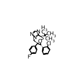 CC(C)(C)Sc1ncnn1C[C@@]1(c2ccc(F)cc2)O[C@@H]1c1ccccc1Cl